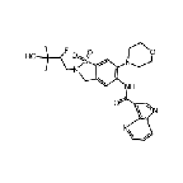 CC(C)(O)C(F)CN1Cc2cc(NC(=O)c3cnn4cccnc34)c(N3CCOCC3)cc2S1(=O)=O